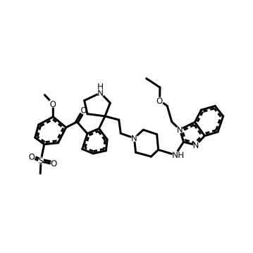 CCOCCn1c(NC2CCN(CCC3(c4ccccc4C(=O)c4cc(S(C)(=O)=O)ccc4OC)CCNC3)CC2)nc2ccccc21